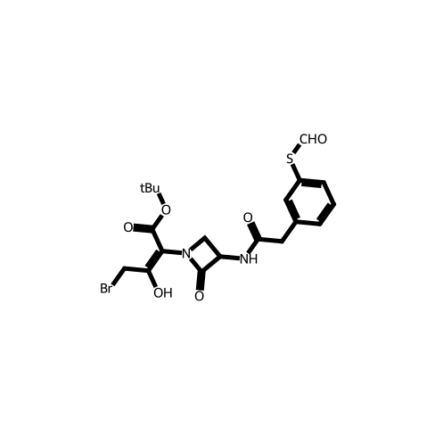 CC(C)(C)OC(=O)C(=C(O)CBr)N1CC(NC(=O)Cc2cccc(SC=O)c2)C1=O